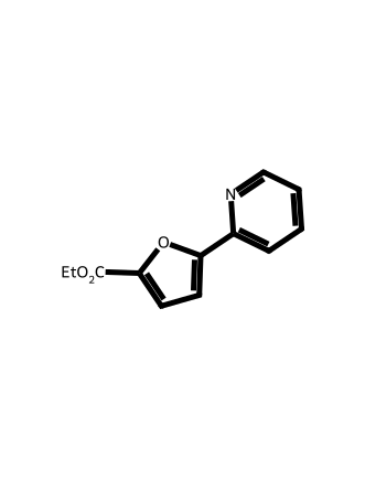 CCOC(=O)c1ccc(-c2ccccn2)o1